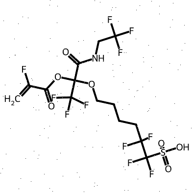 C=C(F)C(=O)OC(OCCCCC(F)(F)C(F)(F)S(=O)(=O)O)(C(=O)NCC(F)(F)F)C(F)(F)F